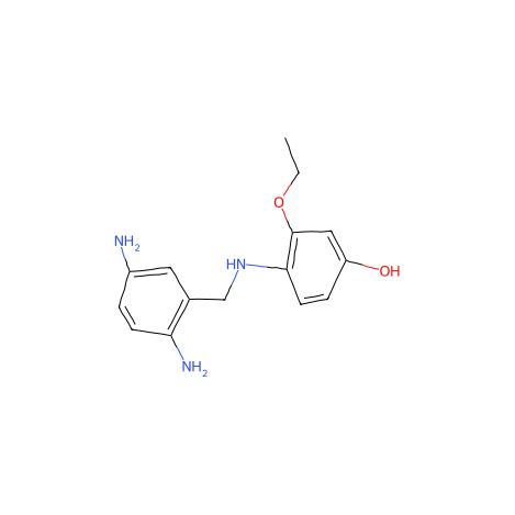 CCOc1cc(O)ccc1NCc1cc(N)ccc1N